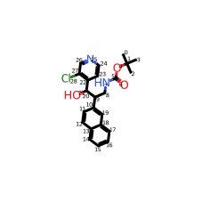 CC(C)(C)OC(=O)NCC(c1ccc2ccccc2c1)C(O)c1ccncc1Cl